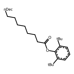 CCCCCCCCCCCCCCCCCC(=O)Oc1c(C(C)(C)C)cccc1C(C)(C)C